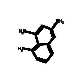 Nc1cc(N)c2c(N)cccc2c1